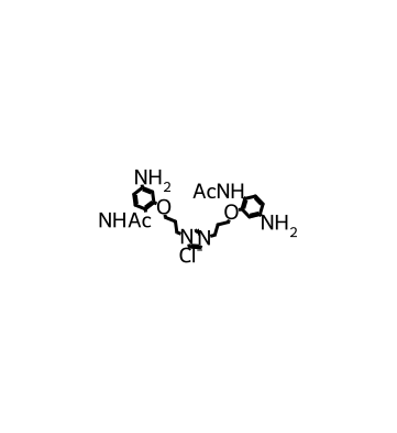 CC(=O)Nc1ccc(N)cc1OCCCn1cc[n+](CCCOc2cc(N)ccc2NC(C)=O)c1.[Cl-]